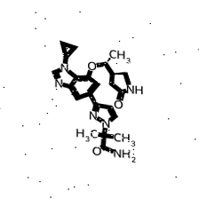 C[C@@H](Oc1cc(-c2ccn(C(C)(C)C(N)=O)n2)cc2ncn(C3CC3)c12)[C@H]1CNC(=O)C1